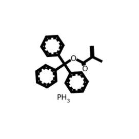 C=C(C)C(=O)OC(c1ccccc1)(c1ccccc1)c1ccccc1.P